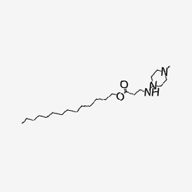 CCCCCCCCCCCCCCOC(=O)CCNN1CCN(C)CC1